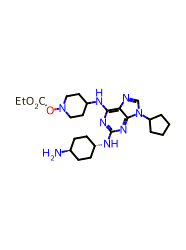 CCOC(=O)ON1CCC(Nc2nc(N[C@H]3CC[C@H](N)CC3)nc3c2ncn3C2CCCC2)CC1